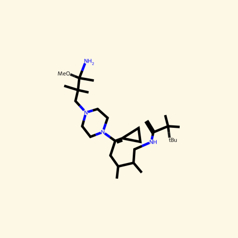 C=C(NCC(C)C(C)CC(=C1CC1)N1CCN(CC(C)(C)C(C)(N)OC)CC1)C(C)(C)C(C)(C)C